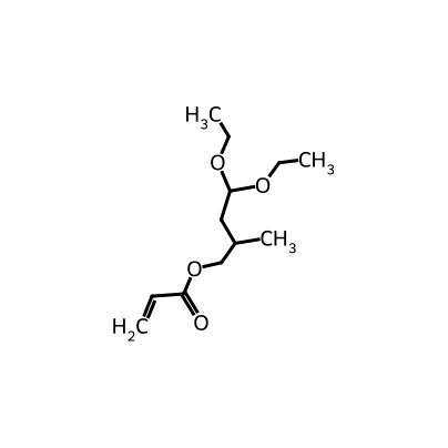 C=CC(=O)OCC(C)CC(OCC)OCC